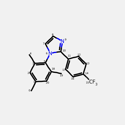 Cc1cc(C)c(-n2ccnc2-c2ccc(C(F)(F)F)cc2)c(C)c1